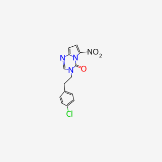 O=c1n(CCc2ccc(Cl)cc2)cnc2ccc([N+](=O)[O-])n12